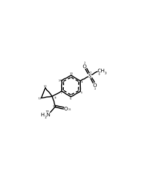 CS(=O)(=O)c1ccc(C2(C(N)=O)CC2)cc1